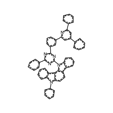 c1ccc(-c2cc(-c3ccccc3)nc(-c3cccc(-c4nc(-c5ccccc5)nc(-n5c6ccccc6c6ccc7c(c8ccccc8n7-c7ccccc7)c65)n4)c3)c2)cc1